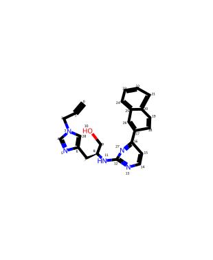 C#CCn1cnc(C[C@@H](CO)Nc2nccc(-c3ccc4ccccc4c3)n2)c1